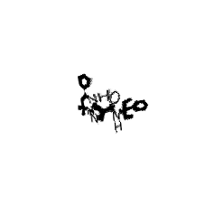 CCC(CC)(NC(=O)c1cnn2c1N[C@@H](c1ccccc1)CC2(C)C)c1ccccc1